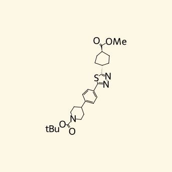 COC(=O)[C@H]1CC[C@H](c2nnc(-c3ccc(C4CCN(C(=O)OC(C)(C)C)CC4)cc3)s2)CC1